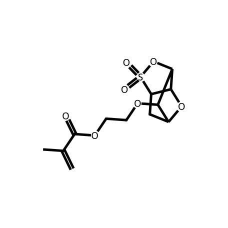 C=C(C)C(=O)OCCOC1C2CC3C(O2)C1OS3(=O)=O